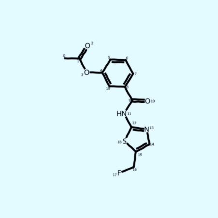 CC(=O)Oc1cccc(C(=O)Nc2ncc(CF)s2)c1